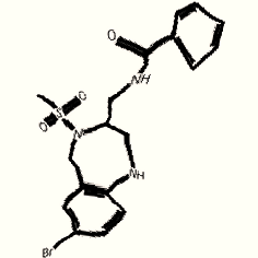 CS(=O)(=O)N1Cc2cc(Br)ccc2NCC1CNC(=O)c1ccccc1